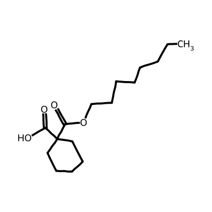 CCCCCCCCOC(=O)C1(C(=O)O)CCCCC1